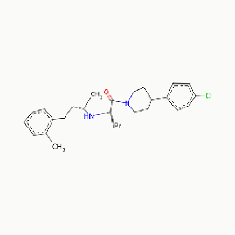 Cc1ccccc1CCC(C)N[C@@H](C(=O)N1CCC(c2ccc(Cl)cc2)CC1)C(C)C